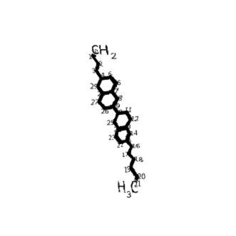 C=CCCC1CCC2CC(C3CCc4cc(CCCCCC)ccc4C3)CCC2C1